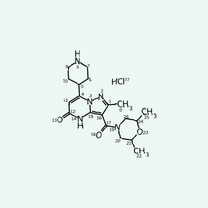 Cc1nn2c(C3CCNCC3)cc(=O)[nH]c2c1C(=O)N1CC(C)OC(C)C1.Cl